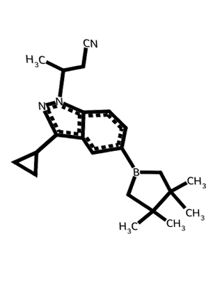 CC(CC#N)n1nc(C2CC2)c2cc(B3CC(C)(C)C(C)(C)C3)ccc21